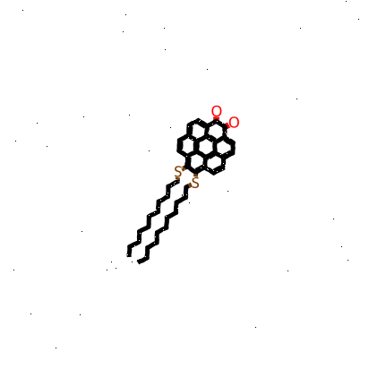 CCCCCCCCCCCSc1c(SCCCCCCCCCCC)c2ccc3ccc4c(=O)c(=O)c5ccc6ccc1c1c6c5c4c3c21